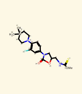 COC(=S)NCC1CN(c2ccc(N3CC[Si](C)(C)CC3)c(F)c2)C(=O)O1